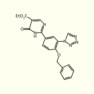 CCOC(=O)c1cnc(-c2ccc(OCc3ccccc3)c(-n3cnnn3)c2)[nH]c1=O